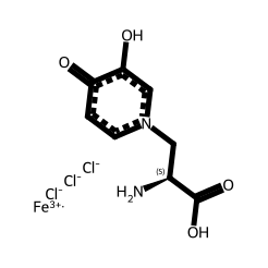 N[C@@H](Cn1ccc(=O)c(O)c1)C(=O)O.[Cl-].[Cl-].[Cl-].[Fe+3]